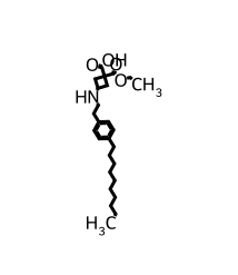 CCCCCCCCCCc1ccc(CCNC2CC(C(=O)O)(C(=O)OCC)C2)cc1